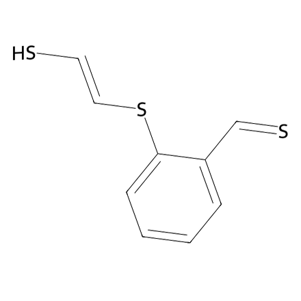 S=Cc1ccccc1SC=CS